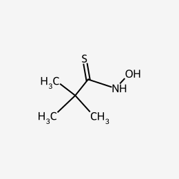 CC(C)(C)C(=S)NO